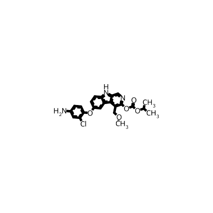 COCc1c(OC(=O)OC(C)C)ncc2[nH]c3ccc(Oc4ccc(N)cc4Cl)cc3c12